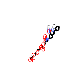 O=C(OCCOCCOCCO)OC[C@@H]1CN(c2ccc3cc(-c4ccccc4C(F)(F)F)[nH]c(=O)c3c2)C(=O)O1